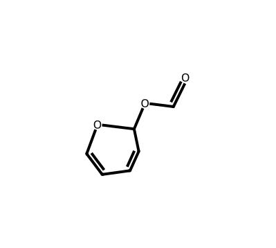 O=COC1C=CC=CO1